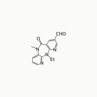 CCN1c2ncc(C=O)cc2C(=O)N(C)c2cccnc21